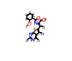 COc1ccccc1C1=N/C(=C(/C)c2sc3nc(C)nc(C)c3c2C)C(=O)O1